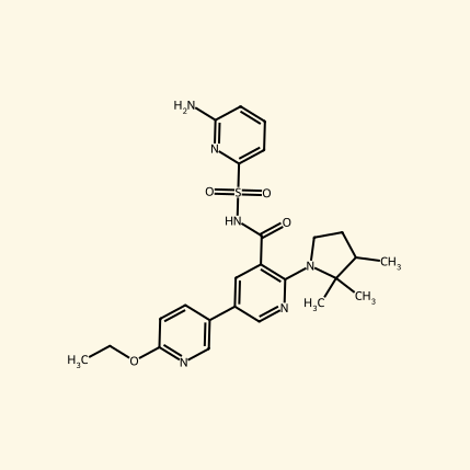 CCOc1ccc(-c2cnc(N3CCC(C)C3(C)C)c(C(=O)NS(=O)(=O)c3cccc(N)n3)c2)cn1